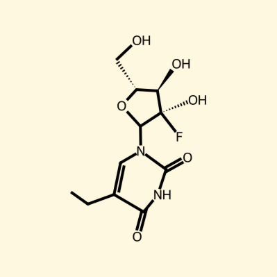 CCc1cn(C2O[C@H](CO)[C@@H](O)[C@@]2(O)F)c(=O)[nH]c1=O